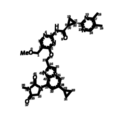 COCc1cnc(NC(=O)[C@H]2C[C@@H]2c2ncc(C)c(C)n2)nc1OCc1cn2cc(C3CC3)cc(N3CC(=O)N(C)C3=O)c2n1